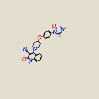 CN(C)/C=C\N(C=O)c1ccc(OC2CCN(c3c(C#N)c(=O)n(C)c4ccccc34)CC2)cc1